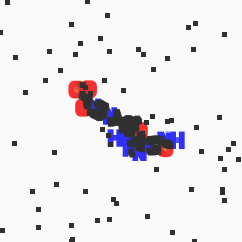 Cc1cc(C2CN(C3CCN(C(=O)CCS(C)(=O)=O)CC3)C2)cc2c1OCc1c(ncnc1N1CCS(=N)(=O)CC1)N2